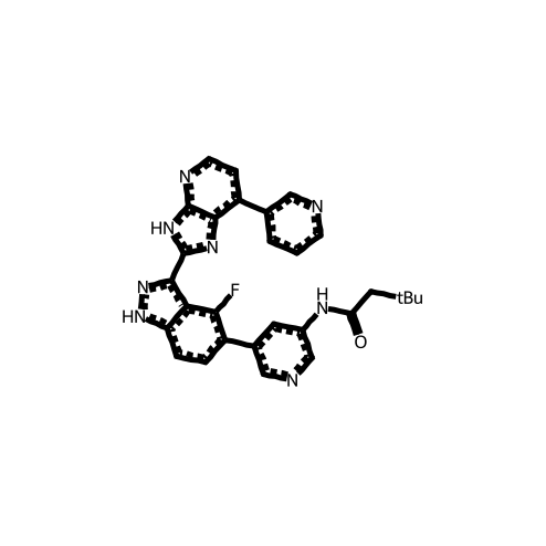 CC(C)(C)CC(=O)Nc1cncc(-c2ccc3[nH]nc(-c4nc5c(-c6cccnc6)ccnc5[nH]4)c3c2F)c1